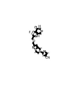 CC(COCc1cc2n(n1)CCN(c1ncc(C#N)s1)C2)Nc1cn[nH]c(=O)c1C(F)(F)F